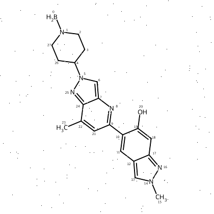 BN1CCC(n2cc3nc(-c4cc5cn(C)nc5cc4O)cc(C)c3n2)CC1